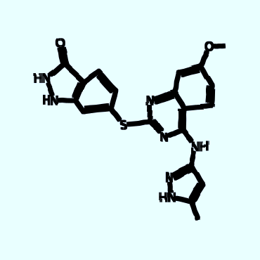 COc1ccc2c(Nc3cc(C)[nH]n3)nc(Sc3ccc4c(=O)[nH][nH]c4c3)nc2c1